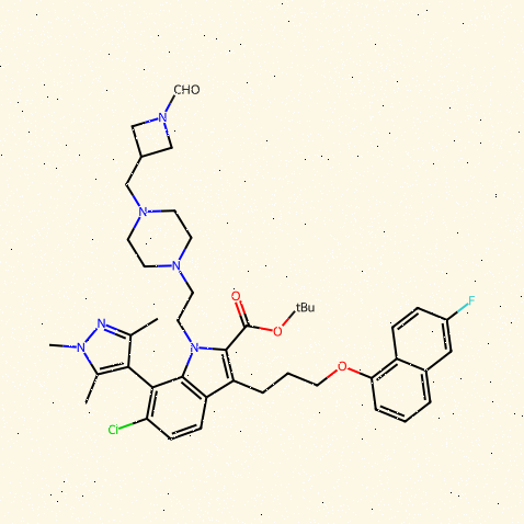 Cc1nn(C)c(C)c1-c1c(Cl)ccc2c(CCCOc3cccc4cc(F)ccc34)c(C(=O)OC(C)(C)C)n(CCN3CCN(CC4CN(C=O)C4)CC3)c12